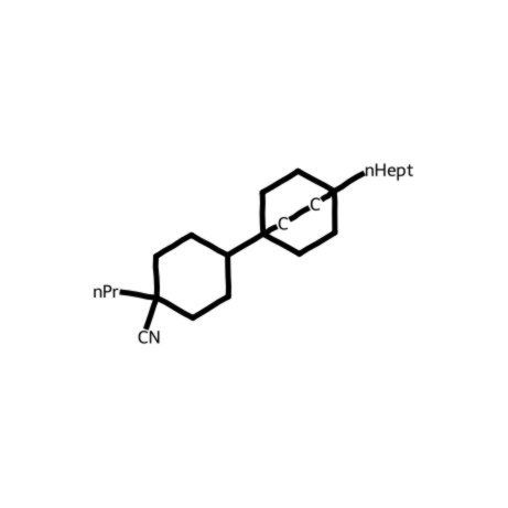 CCCCCCCC12CCC(C3CCC(C#N)(CCC)CC3)(CC1)CC2